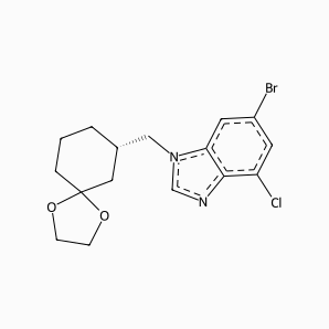 Clc1cc(Br)cc2c1ncn2C[C@H]1CCCC2(C1)OCCO2